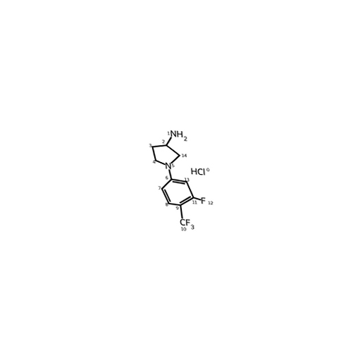 Cl.NC1CCN(c2ccc(C(F)(F)F)c(F)c2)C1